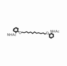 CC(=O)Nc1ccccc1OCCCCCCCCCCCCOc1ccccc1NC(C)=O